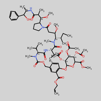 C=CCOC(=O)c1cc(COC(=O)N(C)[C@H](C(=O)N[C@H](C(=O)N(C)[C@@H](C(C)CC)C(CC(=O)N2CCCC2[C@H](OC)C(C)C(=O)N[C@H](C)C(O)c2ccccc2)OC)C(C)C)C(C)C)ccc1OC1OC(C(=O)OC)[C@@H](OC(C)=O)[C@H](OC(C)=O)[C@H]1OC(C)=O